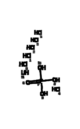 Cl.Cl.Cl.Cl.Cl.Cl.O=P(O)(O)O.[LiH]